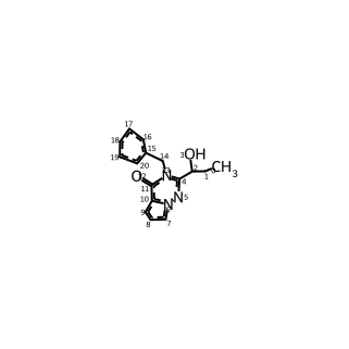 CCC(O)c1nn2cccc2c(=O)n1Cc1ccccc1